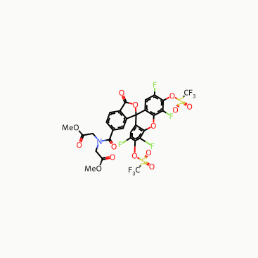 COC(=O)CN(CC(=O)OC)C(=O)c1ccc2c(c1)C1(OC2=O)c2cc(F)c(OS(=O)(=O)C(F)(F)F)c(F)c2Oc2c1cc(F)c(OS(=O)(=O)C(F)(F)F)c2F